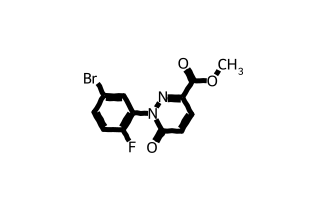 COC(=O)c1ccc(=O)n(-c2cc(Br)ccc2F)n1